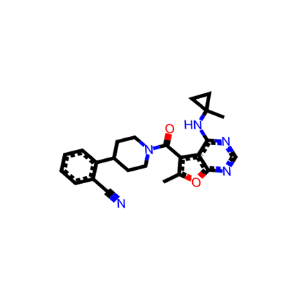 Cc1oc2ncnc(NC3(C)CC3)c2c1C(=O)N1CCC(c2ccccc2C#N)CC1